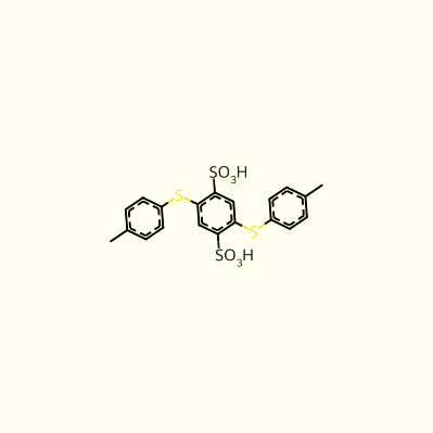 Cc1ccc(Sc2cc(S(=O)(=O)O)c(Sc3ccc(C)cc3)cc2S(=O)(=O)O)cc1